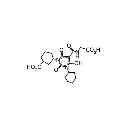 O=C(O)CNC(=O)c1c(O)n(C2CCCCC2)c(=O)n(C2CCCC(C(=O)O)C2)c1=O